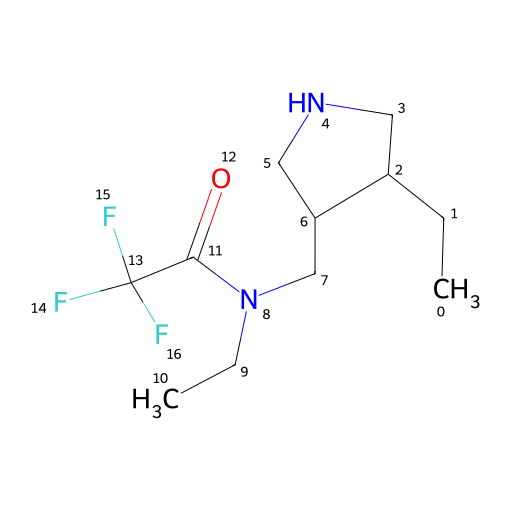 CCC1CNCC1CN(CC)C(=O)C(F)(F)F